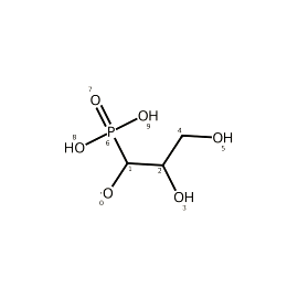 [O]C(C(O)CO)P(=O)(O)O